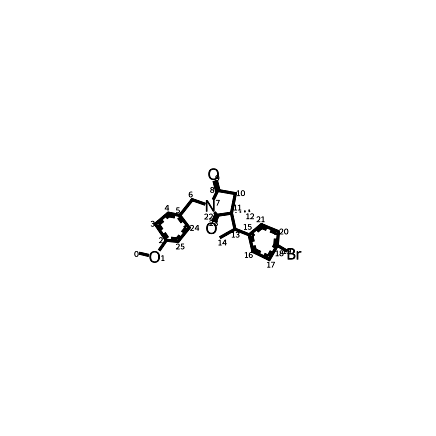 COc1ccc(CN2C(=O)C[C@@](C)(C(C)c3ccc(Br)cc3)C2=O)cc1